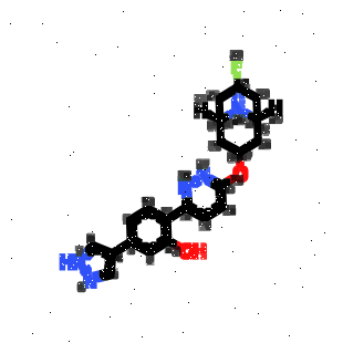 Oc1cc(-c2cn[nH]c2)ccc1-c1ccc(O[C@@H]2C[C@H]3C[C@H](F)C[C@@H](C2)N3)nn1